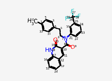 Cc1ccc(CCN(C(=O)c2cc3ccccc3[nH]c2=O)c2cccc(C(F)(F)F)c2)cc1